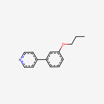 CCCOc1cc[c]c(-c2ccncc2)c1